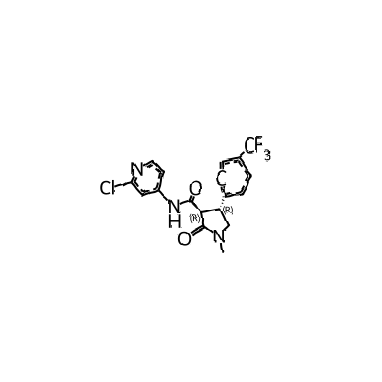 CN1C[C@@H](c2ccc(C(F)(F)F)cc2)[C@H](C(=O)Nc2ccnc(Cl)c2)C1=O